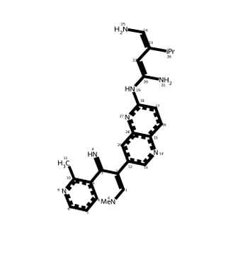 CN/C=C(\C(=N)c1cccnc1C)c1cnc2ccc(N/C(N)=C/C(=C\N)C(C)C)nc2c1